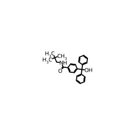 CC(C)(C)CNC(=O)c1ccc(C(O)(c2ccccc2)c2ccccc2)cc1